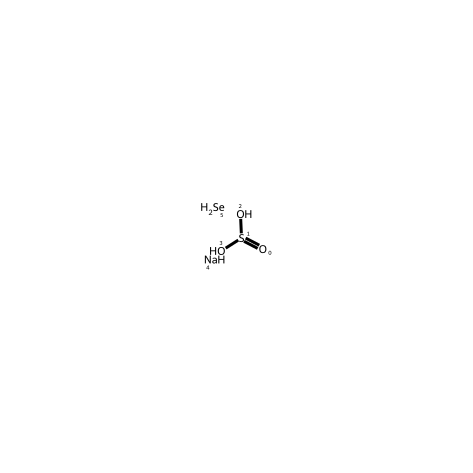 O=S(O)O.[NaH].[SeH2]